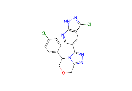 Clc1ccc(C2COCc3nnc(-c4cnc5[nH]nc(Cl)c5c4)n32)cc1